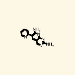 Nc1ncc2cc(-c3ccccn3)c(N)nc2n1